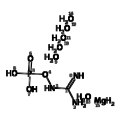 N=C(N)NOP(=O)(O)O.O.O.O.O.O.O.[MgH2]